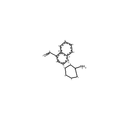 NC1CCCCC1.O=Cc1ccnc2ccccc12